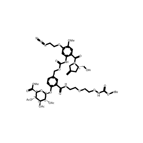 C=C1C[C@@H](CO)N(C(=O)c2cc(OC)c(OCCN=[N+]=[N-])cc2NC(=O)OCc2ccc(O[C@@H]3O[C@H](C(=O)OC)[C@@H](OC(C)=O)[C@H](OC(C)=O)[C@H]3OC(C)=O)c(C(=O)NCCOCCONC(=O)OC(C)(C)C)c2)C1